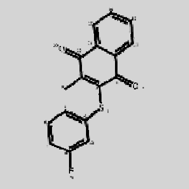 CC1=C(Sc2cccc(F)c2)C(=O)c2ccccc2C1=O